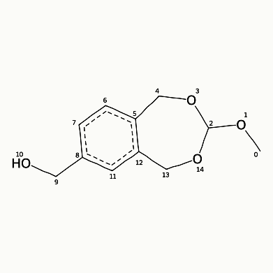 COC1OCc2ccc(CO)cc2CO1